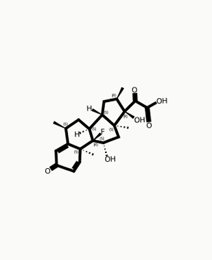 C[C@@H]1C[C@H]2[C@@H]3C[C@H](C)C4=CC(=O)C=C[C@]4(C)[C@@]3(F)[C@@H](O)C[C@]2(C)[C@@]1(O)C(=O)C(=O)O